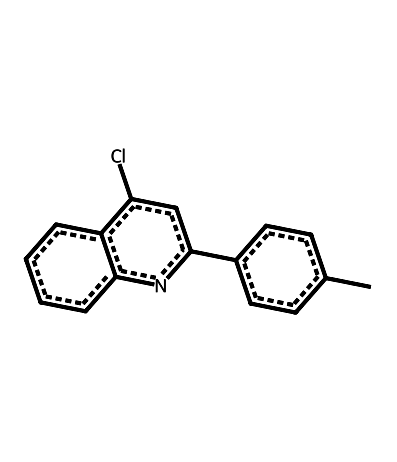 Cc1ccc(-c2cc(Cl)c3ccccc3n2)cc1